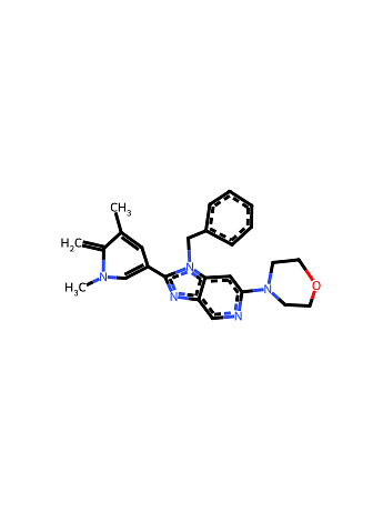 C=C1C(C)=CC(c2nc3cnc(N4CCOCC4)cc3n2Cc2ccccc2)=CN1C